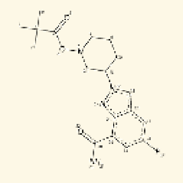 CC(C)(C)C(=O)ON1CCCC(n2cc3cc(F)cc(C(N)=O)c3n2)C1